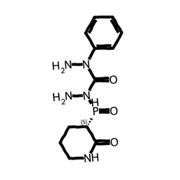 NN(C(=O)N(N)[PH](=O)[C@H]1CCCNC1=O)c1ccccc1